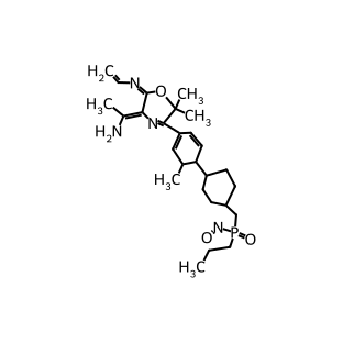 C=C/N=C1/OC(C)(C)C(C2=CC(C)C(C3CCC(CP(=O)(CCC)N=O)CC3)C=C2)=N/C1=C(/C)N